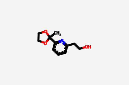 CC1(c2cccc(CCO)n2)OCCO1